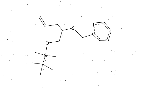 C=CCC(CO[Si](C)(C)C(C)(C)C)SCc1ccccc1